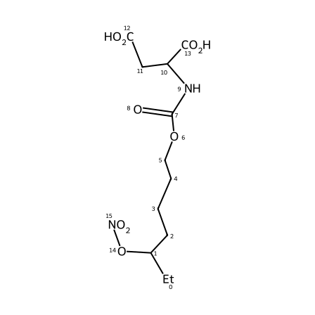 CCC(CCCCOC(=O)NC(CC(=O)O)C(=O)O)O[N+](=O)[O-]